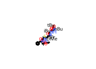 C=CCOC(=O)[C@@H](C)C[C@H](Cc1ccccc1)NC(=O)c1csc([C@@H](C[C@H](C(C)C)N(C)C(=O)[C@@H](NC(=O)CN(CCCC)C(=O)OC(C)(C)C)[C@@H](C)CC)OC)n1